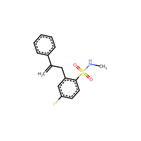 C=C(Cc1cc(F)ccc1S(=O)(=O)NC)c1ccccc1